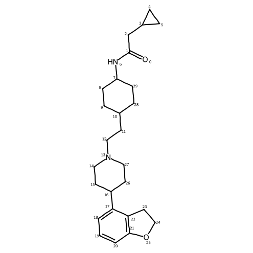 O=C(CC1CC1)NC1CCC(CCN2CCC(c3cccc4c3CCO4)CC2)CC1